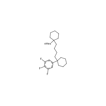 CCCCCCC1(CCCCC2(c3cc(F)c(F)c(F)c3)CCCCC2)CCCCC1